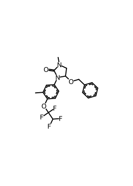 Cc1cc(N2C(=O)N(C)CC2OCc2ccccc2)ccc1OC(F)(F)C(F)F